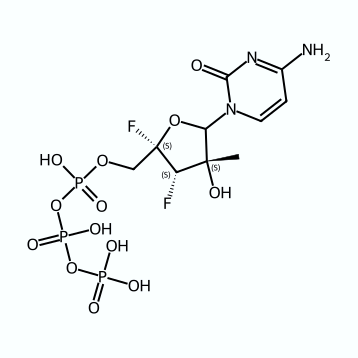 C[C@]1(O)C(n2ccc(N)nc2=O)O[C@](F)(COP(=O)(O)OP(=O)(O)OP(=O)(O)O)[C@H]1F